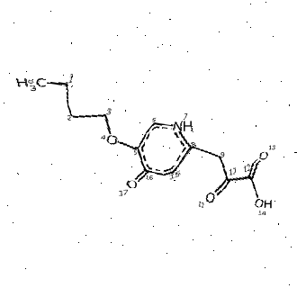 CCCCOc1c[nH]c(CC(=O)C(=O)O)cc1=O